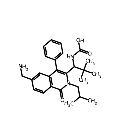 CC(C)Cn1c(C(NC(=O)O)C(C)(C)C)c(-c2ccccc2)c2cc(CN)ccc2c1=O